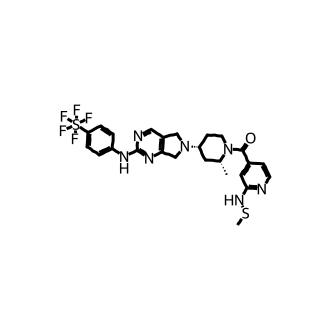 CSNc1cc(C(=O)N2CC[C@@H](N3Cc4cnc(Nc5ccc(S(F)(F)(F)(F)F)cc5)nc4C3)C[C@H]2C)ccn1